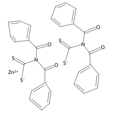 O=C(c1ccccc1)N(C(=O)c1ccccc1)C(=S)[S-].O=C(c1ccccc1)N(C(=O)c1ccccc1)C(=S)[S-].[Zn+2]